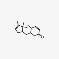 CC1=CCC(CC2CC(=O)C=CC2C)C1(C)C